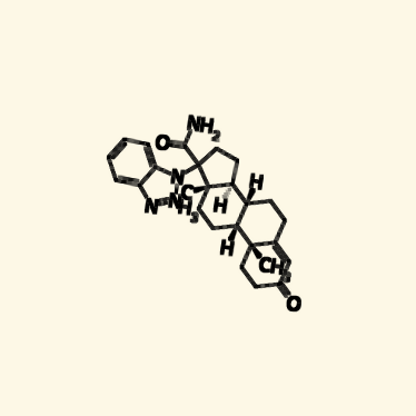 C[C@]12CCC(=O)C=C1CC[C@@H]1[C@H]2CC[C@@]2(C)[C@H]1CCC2(C(N)=O)n1nnc2ccccc21